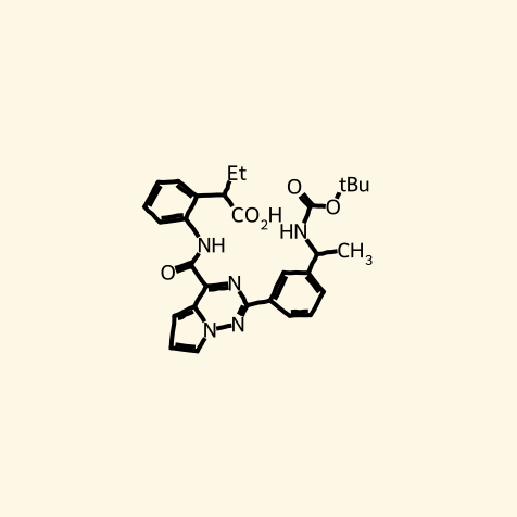 CCC(C(=O)O)c1ccccc1NC(=O)c1nc(-c2cccc(C(C)NC(=O)OC(C)(C)C)c2)nn2cccc12